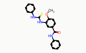 COc1ccc(C(=O)Nc2ccccc2)cc1NC(=S)Nc1ccccc1